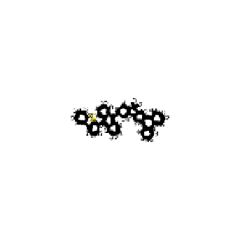 CC1(C)c2ccc(-c3c4ccccc4c(-c4cccc5c4sc4ccccc45)c4ccccc34)cc2-c2cc3c4ccccc4c4ccccc4c3cc21